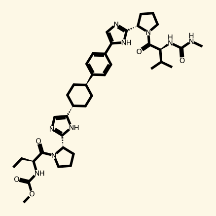 CC[C@H](NC(=O)OC)C(=O)N1CCC[C@H]1c1ncc([C@H]2CC[C@H](c3ccc(-c4cnc([C@@H]5CCCN5C(=O)[C@@H](NC(=O)NC)C(C)C)[nH]4)cc3)CC2)[nH]1